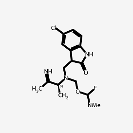 CNC(F)OCN(CC1C(=O)Nc2ccc(Cl)cc21)[C@@H](C)C(C)=N